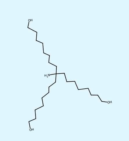 NC(CCCCCCCCO)(CCCCCCCCO)CCCCCCCCO